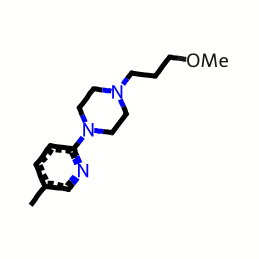 COCCCN1CCN(c2ccc(C)cn2)CC1